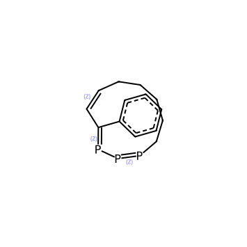 C1=C/C(c2ccccc2)=P/P=P\CCCCC\1